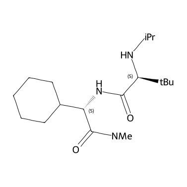 CNC(=O)[C@@H](NC(=O)[C@@H](NC(C)C)C(C)(C)C)C1CCCCC1